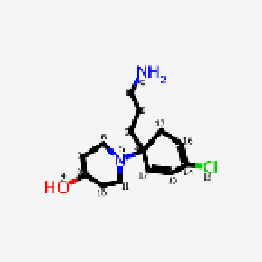 NCCCC1(N2CCC(O)CC2)C=CC(Cl)=CC1